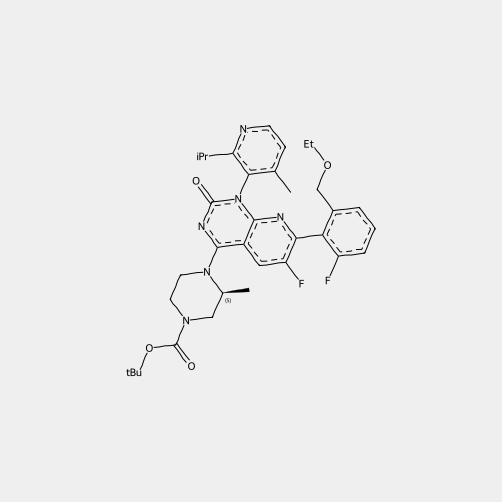 CCOCc1cccc(F)c1-c1nc2c(cc1F)c(N1CCN(C(=O)OC(C)(C)C)C[C@@H]1C)nc(=O)n2-c1c(C)ccnc1C(C)C